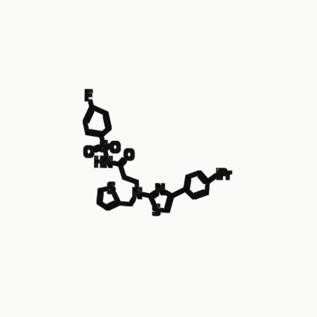 CC(C)c1ccc(-c2csc(N(CCC(=O)NS(=O)(=O)c3ccc(F)cc3)Cc3cccs3)n2)cc1